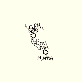 CN(C)S(=O)(=O)c1ccc(N2CCO[C@H]([C@@H](O)C(=O)Nc3ccc(C(=N)N)cc3)C2=O)cc1